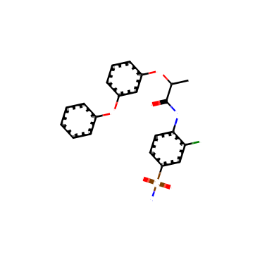 CC(Oc1cccc(Oc2ccccc2)c1)C(=O)Nc1ccc(S(N)(=O)=O)cc1Cl